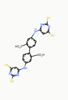 O=S(=O)(O)c1cc(Nc2cc(S)nc(S)n2)ccc1-c1ccc(Nc2cc(S)nc(S)n2)cc1S(=O)(=O)O